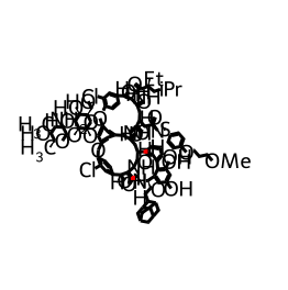 CC[C@@H](CC(C)C)C(=O)N[C@H]1C(=O)C[C@@H](CC(=O)NSc2ccc(OCCCOC)cc2)C(=O)N[C@H]2C(=O)C[C@@H]3C(=O)N[C@@H](C(=O)N[C@H](C(=O)CC4C5CC6CC(C5)CC4C6)c4cc(O)cc(O)c4-c4cc3ccc4O)[C@@H](O)c3ccc(c(Cl)c3)Oc3cc2cc(c3O[C@@H]2O[C@H](CO)[C@H](O)[C@H](O)[C@@H]2O[C@H]2C[C@](C)(N)[C@H](O)[C@H](C)O2)Oc2ccc(cc2Cl)[C@H]1O